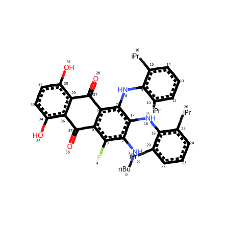 CCCCNc1c(F)c2c(c(Nc3c(C(C)C)cccc3C(C)C)c1Nc1c(C(C)C)cccc1C(C)C)C(=O)c1c(O)ccc(O)c1C2=O